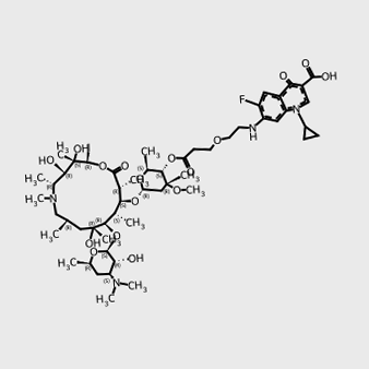 CO[C@]1(C)C[C@H](O[C@H]2[C@H](C)[C@@H](O[C@@H]3O[C@H](C)C[C@H](N(C)C)[C@H]3O)[C@](C)(O)C[C@@H](C)CN(C)[C@H](C)[C@@H](O)[C@](C)(O)[C@@H](I)OC(=O)[C@@H]2C)O[C@@H](C)[C@@H]1OC(=O)CCOCCNc1cc2c(cc1F)c(=O)c(C(=O)O)cn2C1CC1